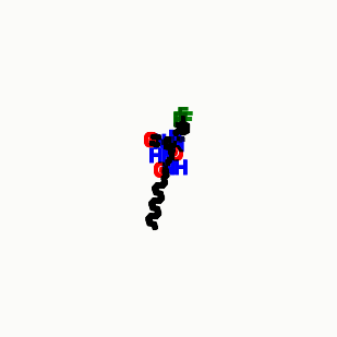 CC/C=C\C/C=C\C/C=C\C/C=C\C/C=C\C/C=C\CCC(=O)NCCNC(=O)c1cc(N2CCOCC2)cc2c1nc(C)n2Cc1cccc(C(F)(F)F)c1C